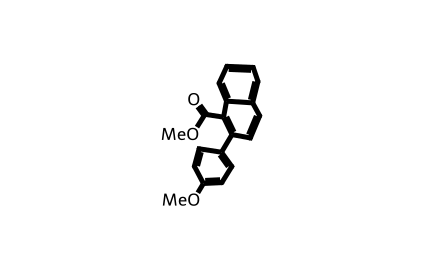 COC(=O)c1c(-c2ccc(OC)cc2)ccc2ccccc12